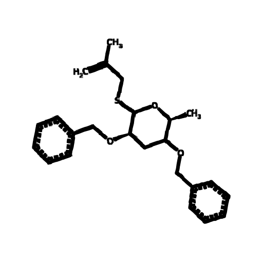 C=C(C)CSC1O[C@@H](C)C(OCc2ccccc2)C[C@H]1OCc1ccccc1